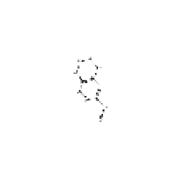 ClCc1ccc2c(c1)CCCC2